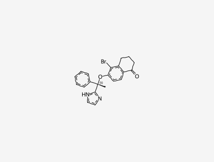 C[C@](Oc1ccc2c(c1Br)CCCC2=O)(c1ccccc1)c1ncc[nH]1